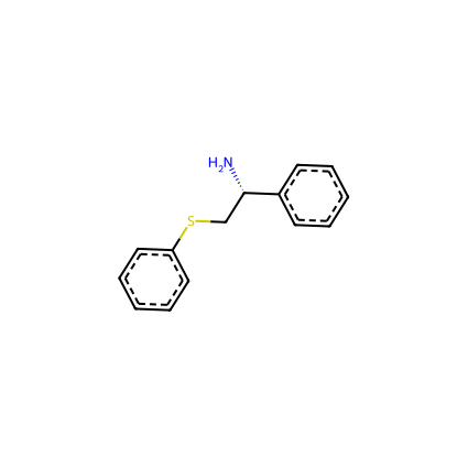 N[C@@H](CSc1ccccc1)c1ccccc1